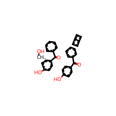 CO.O=C(c1ccccc1)c1ccc(O)cc1.O=C(c1ccccc1)c1ccc(O)cc1.c1cc2ccc1-2